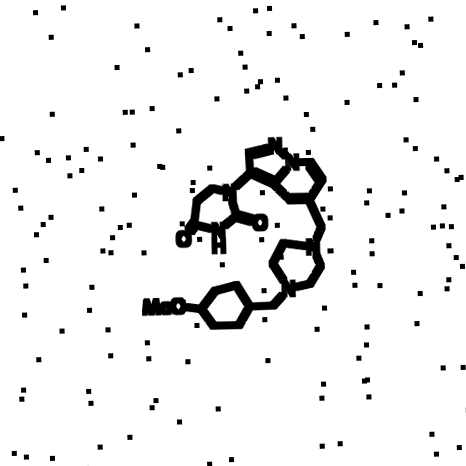 COC1CCC(CN2CCN(Cc3ccn4ncc(N5CCC(=O)NC5=O)c4c3)CC2)CC1